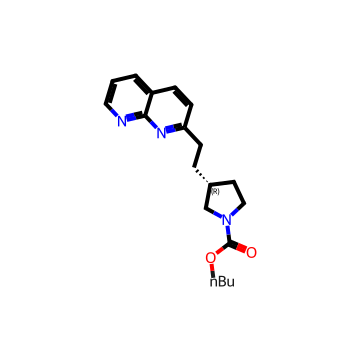 CCCCOC(=O)N1CC[C@@H](CCc2ccc3cccnc3n2)C1